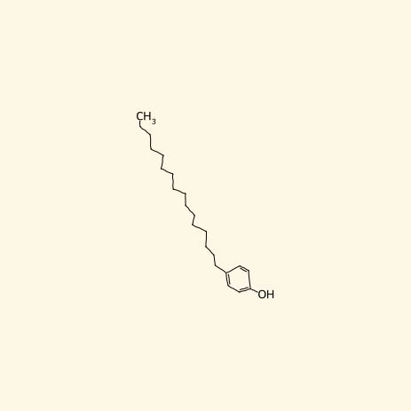 CCCCCCCCCCCCCCCCc1ccc(O)cc1